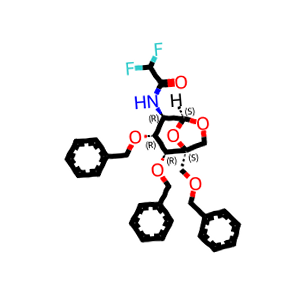 O=C(N[C@H]1[C@H]2OC[C@](COCc3ccccc3)(O2)[C@H](OCc2ccccc2)[C@@H]1OCc1ccccc1)C(F)F